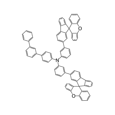 c1ccc(-c2cccc(-c3ccc(N(c4cccc(-c5ccc6c(c5)C5(c7ccccc7Oc7ccccc75)c5ccccc5-6)c4)c4cccc(-c5ccc6c(c5)C5(c7ccccc7Oc7ccccc75)c5ccccc5-6)c4)cc3)c2)cc1